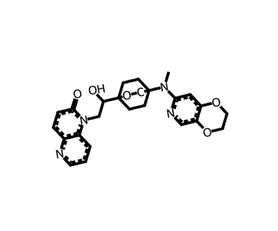 CN(c1cc2c(cn1)OCCO2)C12CCC(C(O)Cn3c(=O)ccc4ncccc43)(CC1)OC2